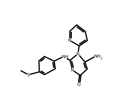 CSc1ccc(Nc2nc(=O)cc(N)n2-c2ccccn2)cc1